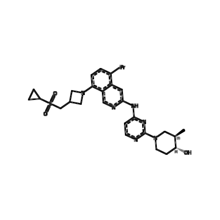 CC(C)c1ccc(N2CC(CS(=O)(=O)C3CC3)C2)c2cnc(Nc3ccnc(N4CC[C@@H](O)[C@H](C)C4)n3)cc12